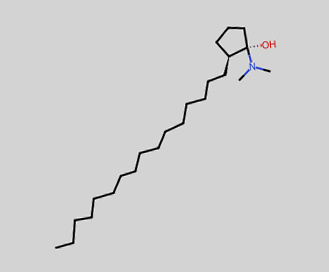 CCCCCCCCCCCCCCCC[C@H]1CCC[C@@]1(O)N(C)C